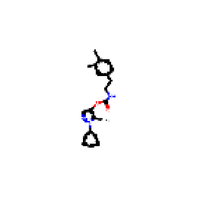 CCCc1c(OC(=O)NCCc2ccc(C)c(C)c2)cnn1-c1ccccc1